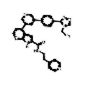 CC(C)Cn1cnnc1-c1ccc(-c2cncc(-c3ccnc4[nH]c(C(=O)NCCc5ccncc5)cc34)c2)cc1